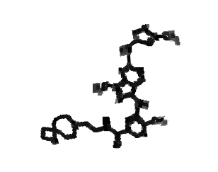 Cc1ncc(C(=O)NCCN2CCC3(CCO3)CC2)cc1Nc1nn(C)c2nc(Nc3cnn(C)c3)ncc12